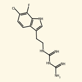 N=C(N)NC(=N)NCCc1c[nH]c2c(F)c(Cl)ccc12